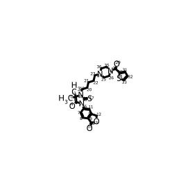 CC1(C)C(=O)N(c2ccc3c(c2)COC3=O)C(=S)N1CCCCCN1CCN(C(=O)c2cccs2)CC1